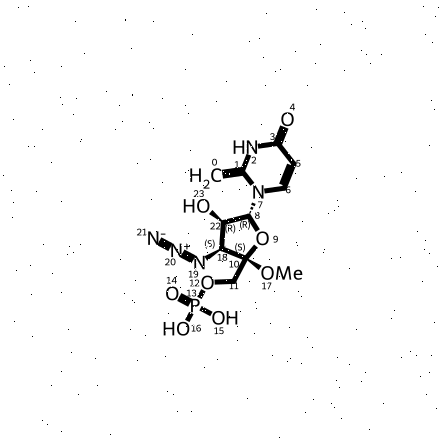 C=C1NC(=O)C=CN1[C@@H]1O[C@@](COP(=O)(O)O)(OC)[C@@H](N=[N+]=[N-])[C@H]1O